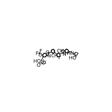 Cc1c(-c2nc3cc(CN[C@@H]4CCC[C@@H]4O)ccc3o2)cccc1-c1cccc(-c2nc3cc(CN4CCC[C@@H]4C(=O)O)c(OC(F)F)cc3o2)c1C